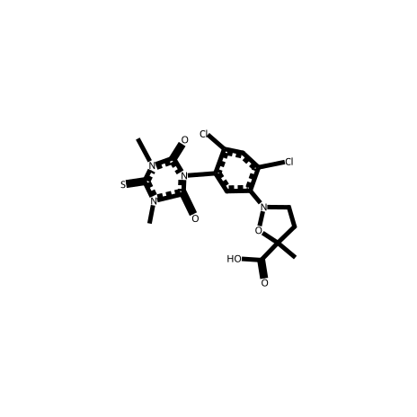 Cn1c(=S)n(C)c(=O)n(-c2cc(N3CCC(C)(C(=O)O)O3)c(Cl)cc2Cl)c1=O